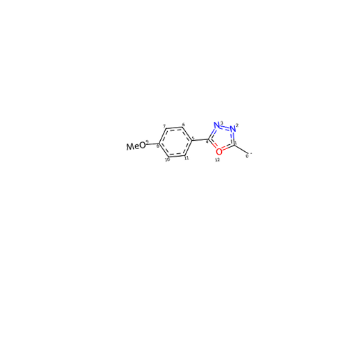 [CH2]c1nnc(-c2ccc(OC)cc2)o1